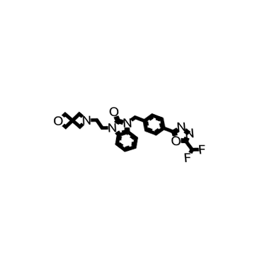 O=c1n(CCN2CC3(COC3)C2)c2ccccc2n1Cc1ccc(-c2nnc(C(F)F)o2)cc1